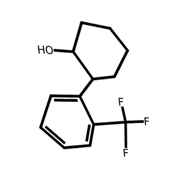 OC1CCCCC1c1ccccc1C(F)(F)F